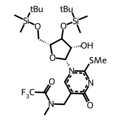 CSc1nc(=O)c(CN(C)C(=O)C(F)(F)F)cn1[C@@H]1O[C@H](CO[Si](C)(C)C(C)(C)C)C(O[Si](C)(C)C(C)(C)C)[C@@H]1O